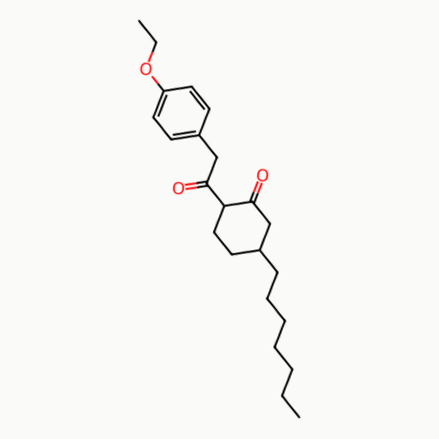 CCCCCCCC1CCC(C(=O)Cc2ccc(OCC)cc2)C(=O)C1